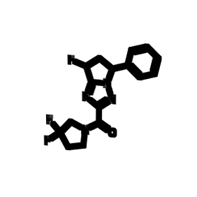 O=C(c1nc2n(n1)C(c1ccccc1)CC2F)N1CCC(F)(F)C1